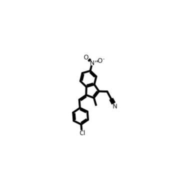 CC1=C(CC#N)c2cc([N+](=O)[O-])ccc2C1=Cc1ccc(Cl)cc1